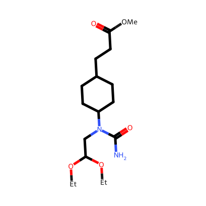 CCOC(CN(C(N)=O)C1CCC(CCC(=O)OC)CC1)OCC